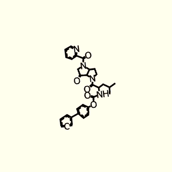 CC(C)CC(NC(=O)Oc1ccc(-c2ccccc2)cc1)C(=O)N1CCC2C1C(=O)CN2C(=O)c1ccccn1